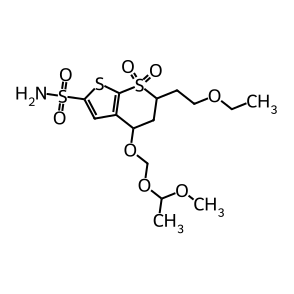 CCOCCC1CC(OCOC(C)OC)c2cc(S(N)(=O)=O)sc2S1(=O)=O